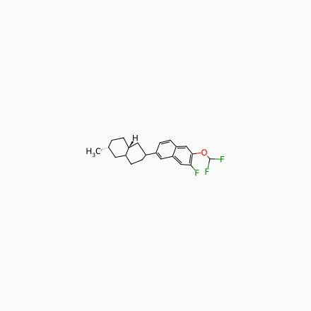 C[C@@H]1CC[C@@H]2CC(c3ccc4cc(OC(F)F)c(F)cc4c3)CCC2C1